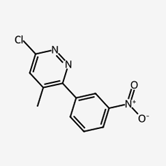 Cc1cc(Cl)nnc1-c1cccc([N+](=O)[O-])c1